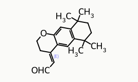 CC1(C)CCC(C)(C)c2cc3c(cc21)OCC/C3=C\C=O